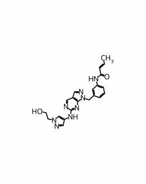 C/C=C/C(=O)Nc1cccc(Cn2ncc3cnc(Nc4cnn(CCO)c4)nc32)c1